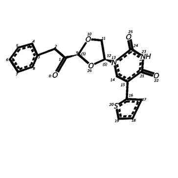 O=C(Cc1ccccc1)[C@H]1OC[C@@H](n2cc(-c3cccs3)c(=O)[nH]c2=O)O1